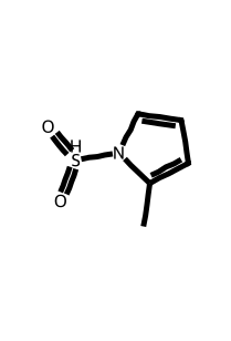 Cc1cccn1[SH](=O)=O